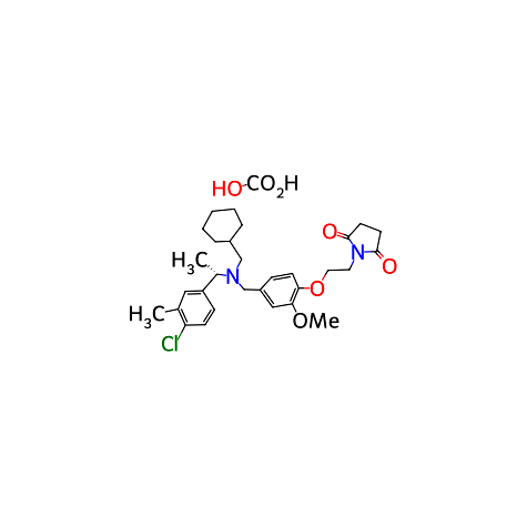 COc1cc(CN(CC2CCCCC2)[C@@H](C)c2ccc(Cl)c(C)c2)ccc1OCCN1C(=O)CCC1=O.O=C(O)O